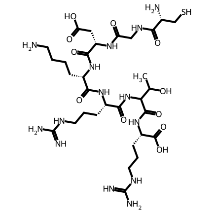 CC(O)C(NC(=O)[C@H](CCCNC(=N)N)NC(=O)[C@H](CCCCN)NC(=O)[C@H](CC(=O)O)NC(=O)CNC(=O)[C@H](N)CS)C(=O)N[C@@H](CCCNC(=N)N)C(=O)O